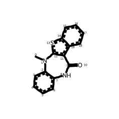 CN1c2ccccc2NC(=O)c2c1sc1ccccc21